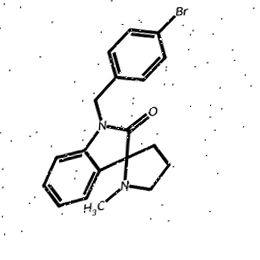 CN1CCCC12C(=O)N(Cc1ccc(Br)cc1)c1ccccc12